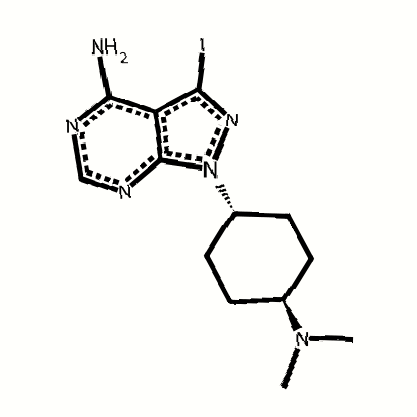 CN(C)[C@H]1CC[C@H](n2nc(I)c3c(N)ncnc32)CC1